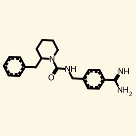 N=C(N)c1ccc(CNC(=O)N2CCCCC2Cc2ccccc2)cc1